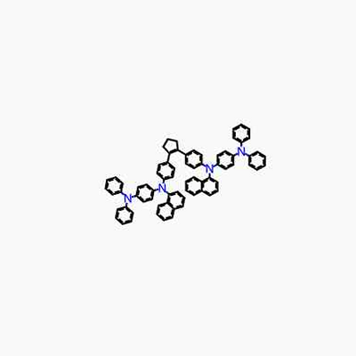 c1ccc(N(c2ccccc2)c2ccc(N(c3ccc(C4=C(c5ccc(N(c6ccc(N(c7ccccc7)c7ccccc7)cc6)c6cccc7ccccc67)cc5)CCC4)cc3)c3cccc4ccccc34)cc2)cc1